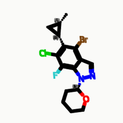 C[C@H]1C[C@H]1c1c(Cl)c(F)c2c(cnn2[C@H]2CCCCO2)c1Br